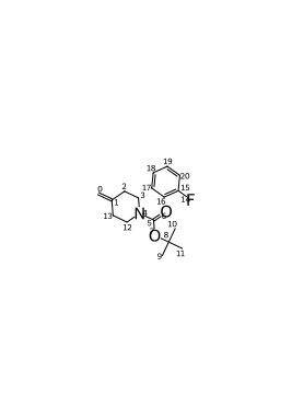 C=C1CCN(C(=O)OC(C)(C)C)CC1.Fc1ccccc1